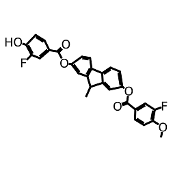 COc1ccc(C(=O)Oc2ccc3c(c2)C(C)c2cc(OC(=O)c4ccc(O)c(F)c4)ccc2-3)cc1F